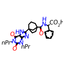 CCCn1c(=O)c2[nH]c(C34CCCC(C(=O)NC(C(=O)O)c5ccccc5)(CC3)C4)nc2n(CCC)c1=O